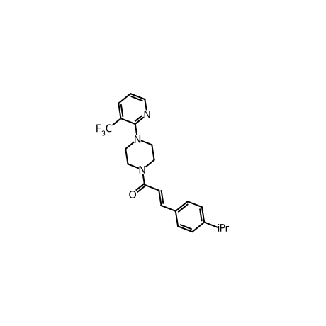 CC(C)c1ccc(C=CC(=O)N2CCN(c3ncccc3C(F)(F)F)CC2)cc1